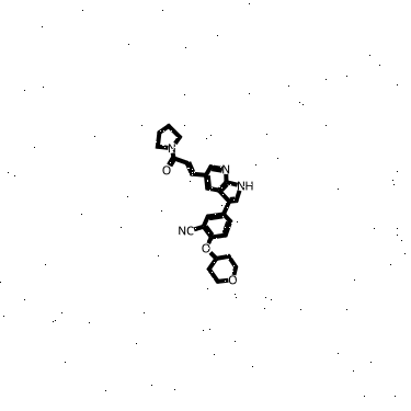 N#Cc1cc(-c2c[nH]c3ncc(/C=C/C(=O)N4CCCC4)cc23)ccc1OC1CCOCC1